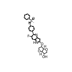 C[S@](=O)(=Nc1ccc(-c2nc3cc(O[C@@H]4CO[C@H]5[C@@H]4OC[C@H]5O)[nH]c3cc2F)cc1)c1ccccc1